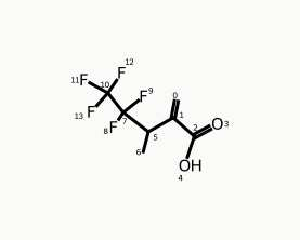 C=C(C(=O)O)C(C)C(F)(F)C(F)(F)F